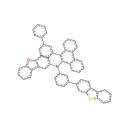 c1ccc(-c2cccc(-c3c(N(c4cccc(-c5ccc6c(c5)sc5ccccc56)c4)c4ccc5oc6ccccc6c5c4)c4ccccc4c4ccccc34)c2)cc1